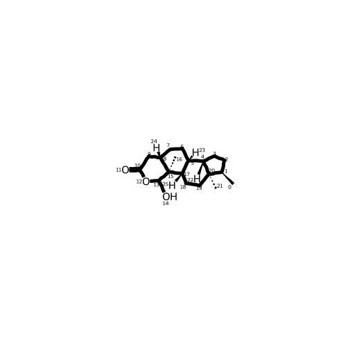 C[C@@H]1CC[C@H]2[C@@H]3CC[C@H]4CC(=O)OC(O)[C@]4(C)[C@H]3CC[C@]12C